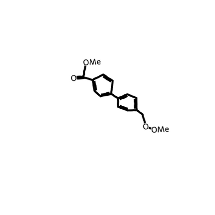 COOCc1ccc(-c2ccc(C(=O)OC)cc2)cc1